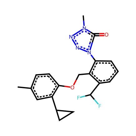 Cc1ccc(OCc2c(C(F)F)cccc2-n2nnn(C)c2=O)c(C2CC2)c1